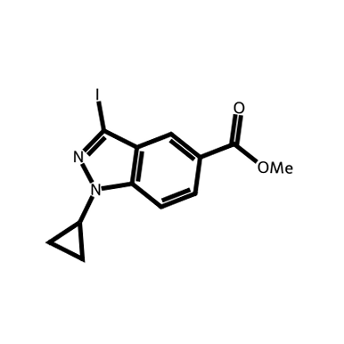 COC(=O)c1ccc2c(c1)c(I)nn2C1CC1